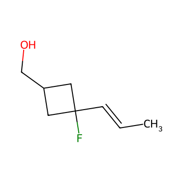 C/C=C/C1(F)CC(CO)C1